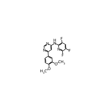 COc1ccc(-c2cc(Nc3nc(F)c(F)cc3F)ncn2)cc1OC